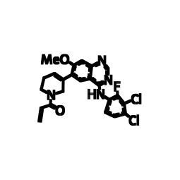 C=CC(=O)N1CCC=C(c2cc3c(Nc4ccc(Cl)c(Cl)c4F)ncnc3cc2OC)C1